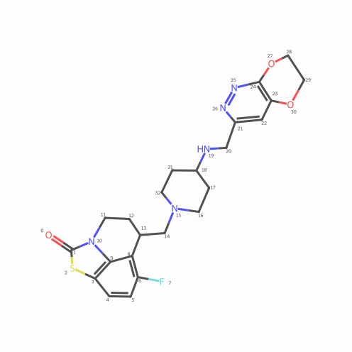 O=c1sc2ccc(F)c3c2n1CCC3CN1CCC(NCc2cc3c(nn2)OCCO3)CC1